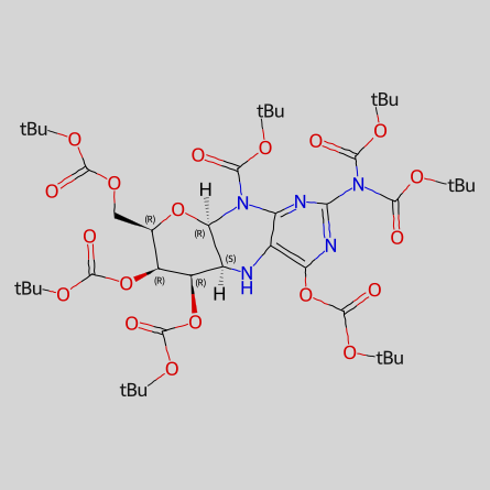 CC(C)(C)OC(=O)OC[C@H]1O[C@@H]2[C@@H](Nc3c(OC(=O)OC(C)(C)C)nc(N(C(=O)OC(C)(C)C)C(=O)OC(C)(C)C)nc3N2C(=O)OC(C)(C)C)[C@@H](OC(=O)OC(C)(C)C)[C@H]1OC(=O)OC(C)(C)C